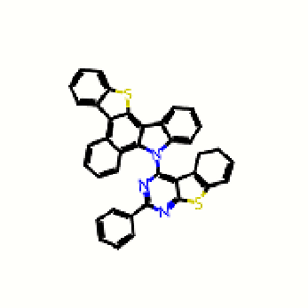 C1=Cc2sc3nc(-c4ccccc4)nc(-n4c5ccccc5c5c6sc7ccccc7c6c6ccccc6c54)c3c2CC1